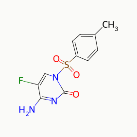 Cc1ccc(S(=O)(=O)n2cc(F)c(N)nc2=O)cc1